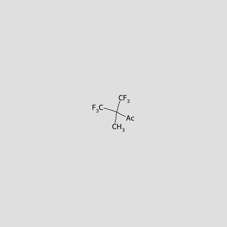 CC(=O)C(C)(C(F)(F)F)C(F)(F)F